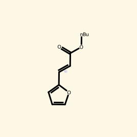 CCCCOC(=O)/C=C/c1ccco1